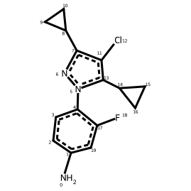 Nc1ccc(-n2nc(C3CC3)c(Cl)c2C2CC2)c(F)c1